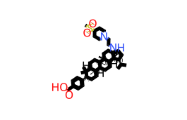 CC(C)[C@@H]1CC[C@]2(NCCN3CCC(S(C)(=O)=O)CC3)CC[C@]3(C)[C@H](CC[C@@H]4[C@@]5(C)CC[C@@H](c6ccc(C(=O)O)cc6)C(C)(C)[C@@H]5CC[C@]43C)[C@@H]12